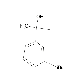 CCC(C)c1cccc(C(C)(O)C(F)(F)F)c1